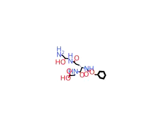 NCC(O)CNC(=O)CC[C@H](NC(=O)OCc1ccccc1)C(=O)NCC(=O)O